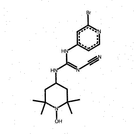 CC1(C)CC(NC(=NC#N)Nc2ccnc(Br)c2)CC(C)(C)N1O